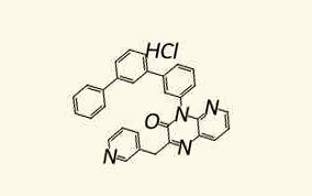 Cl.O=c1c(Cc2cccnc2)nc2cccnc2n1-c1cccc(-c2cccc(-c3ccccc3)c2)c1